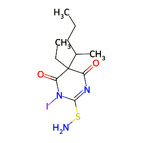 CCCC(C)C1(CC)C(=O)N=C(SN)N(I)C1=O